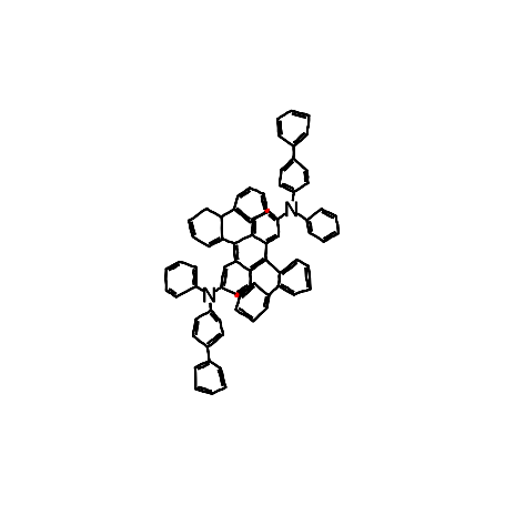 C1=CCC(c2ccccc2)C(c2c3cc(N(c4ccccc4)c4ccc(-c5ccccc5)cc4)ccc3c(-c3ccccc3-c3ccccc3)c3cc(N(c4ccccc4)c4ccc(-c5ccccc5)cc4)ccc23)=C1